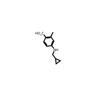 Cc1cc(NCC2CC2)ccc1C(=O)O